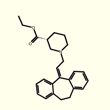 CCOC(=O)[C@@H]1CCCN(CC=C2c3ccccc3CCc3ccccc32)C1